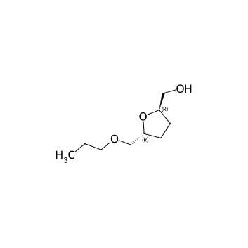 CCCOC[C@H]1CC[C@H](CO)O1